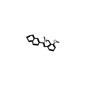 COc1cccc2c1CN(C)C(c1ccc3ccccc3c1)=C2